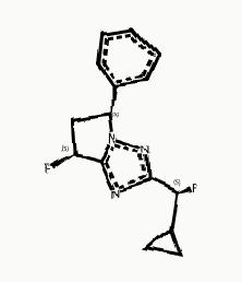 F[C@H](c1nc2n(n1)[C@H](c1ccccc1)C[C@@H]2F)C1CC1